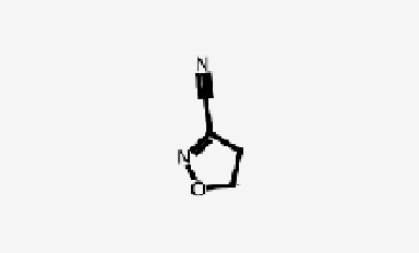 N#CC1=NO[CH]C1